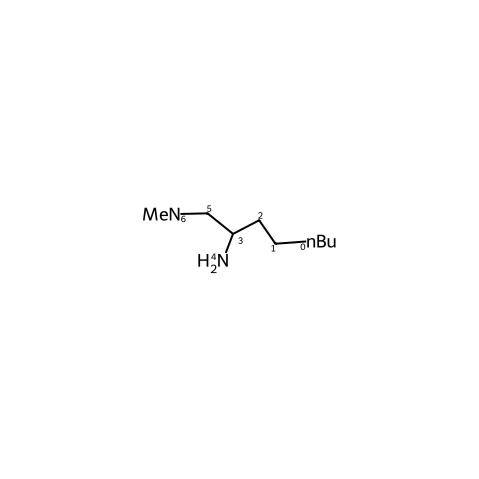 CCCCCCC(N)CNC